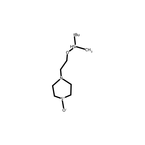 C[SiH](OCCN1CC[S+]([O-])CC1)C(C)(C)C